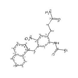 CCC(=O)Nc1cc(Sc2cccc3cnccc23)c([N+](=O)[O-])cc1CCC(N)=O